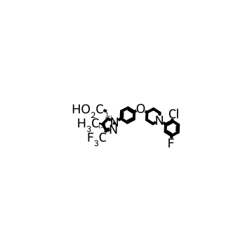 C[C@@H]1C(C(F)(F)F)=NN(c2ccc(OC3CCN(c4cc(F)ccc4Cl)CC3)cc2)[C@H]1CC(=O)O